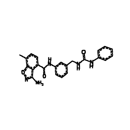 Cc1ccc(C(=O)Nc2cccc(CNC(=O)Nc3ccccc3)c2)c2c(N)noc12